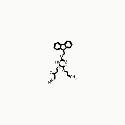 C=CCOC(=O)[C@H](CCC(=O)C=[N+]=[N-])NC(=O)OCC1c2ccccc2-c2ccccc21